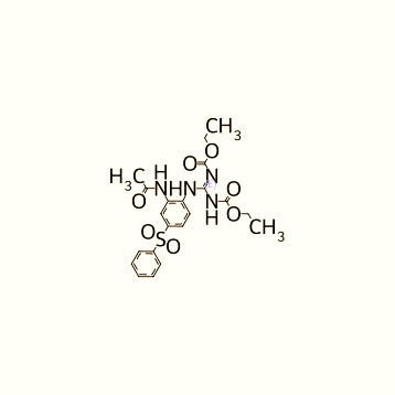 CCOC(=O)/N=C(/NC(=O)OCC)Nc1ccc(S(=O)(=O)c2ccccc2)cc1NC(C)=O